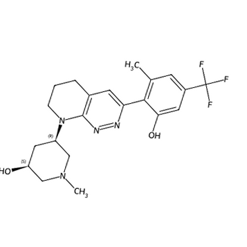 Cc1cc(C(F)(F)F)cc(O)c1-c1cc2c(nn1)N([C@@H]1C[C@H](O)CN(C)C1)CCC2